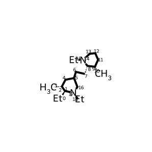 CC[C@H]1[C@H](C)CC(CC[C@H]2[C@@H](C)CCCN2CC)CN1CC